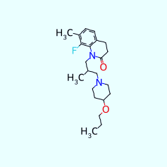 CCCOC1CCN(CC(C)CN2C(=O)CCc3ccc(C)c(F)c32)CC1